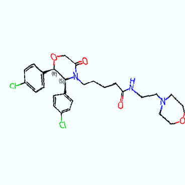 O=C(CCCCN1C(=O)CO[C@H](c2ccc(Cl)cc2)[C@@H]1c1ccc(Cl)cc1)NCCN1CCOCC1